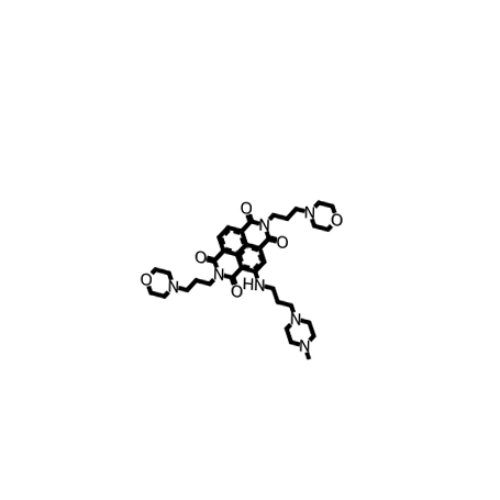 CN1CCN(CCCNc2cc3c4c(ccc5c4c2C(=O)N(CCCN2CCOCC2)C5=O)C(=O)N(CCCN2CCOCC2)C3=O)CC1